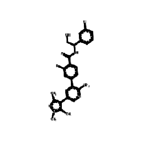 Cc1nn(C)c(C)c1-c1cnc(N)c(-c2ccc(C(=O)NC(CO)c3cccc(Cl)c3)c(F)c2)c1